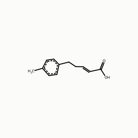 Cc1ccc(CC/C=C/C(=O)O)cc1